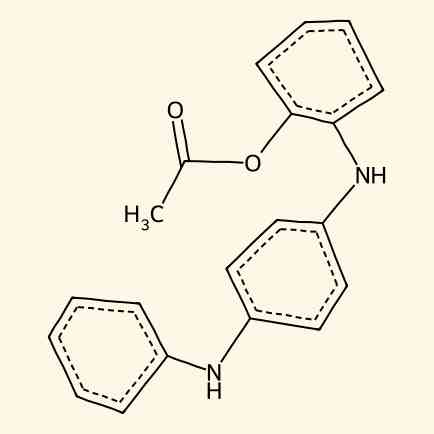 CC(=O)Oc1ccccc1Nc1ccc(Nc2ccccc2)cc1